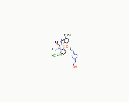 COc1ccc(OCCCN2CCN(CCO)CC2)c(C2(N(C)C(C)=O)Sc3ccccc3N(C)C2=O)c1.Cl.Cl